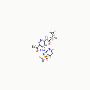 CCC(=O)c1cnc(NC(=O)[C@@H]2CC23CC3)cc1Nc1ncccc1S(=O)(=O)C(F)F